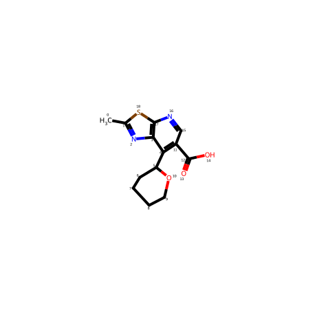 Cc1nc2c(C3CCCCO3)c(C(=O)O)cnc2s1